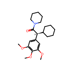 COc1cc([C@@H](C(=O)N2CCCCC2)C2CCCCC2)cc(OC)c1OC